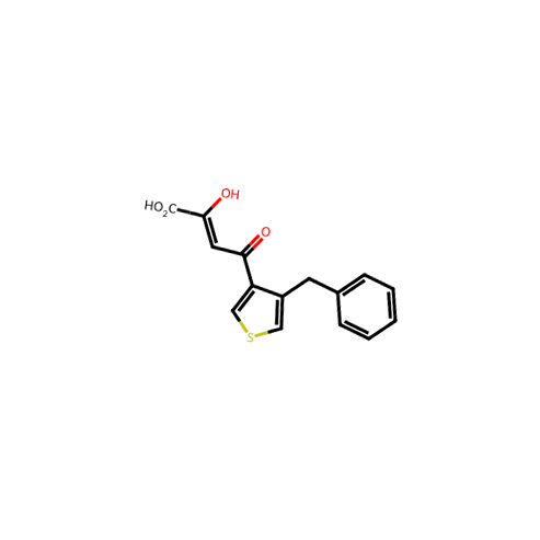 O=C(O)/C(O)=C/C(=O)c1cscc1Cc1ccccc1